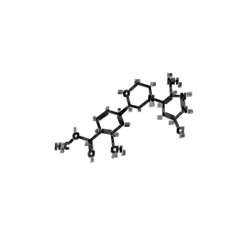 COC(=O)c1ccc([C@@H]2CN(c3cc(Cl)nnc3N)CCO2)cc1C